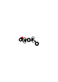 CC1(C)C2CCC1(C)C(OC(=O)N1CCN(C(=O)OCc3ccccc3)CC1)C2